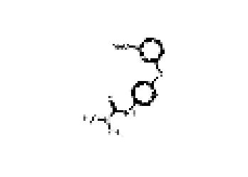 COc1cccc(Oc2ccc(NC(=O)N(C)C)cc2)n1